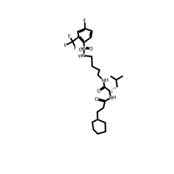 CC(C)C[C@H](NC(=O)CCC1CCCCC1)C(=O)NCCCCNS(=O)(=O)c1ccc(F)cc1C(F)(F)F